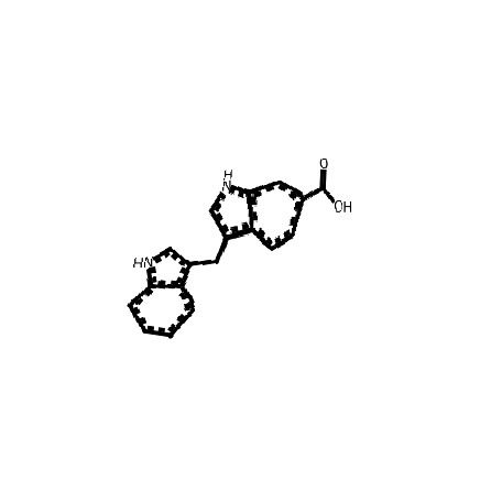 O=C(O)c1ccc2c(Cc3c[nH]c4ccccc34)c[nH]c2c1